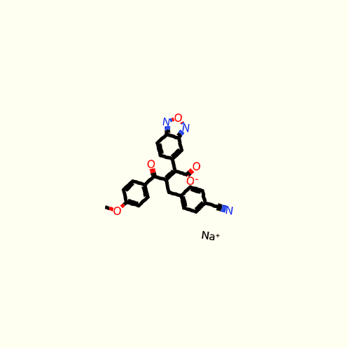 COc1ccc(C(=O)C(Cc2ccc(C#N)cc2)=C(C(=O)[O-])c2ccc3nonc3c2)cc1.[Na+]